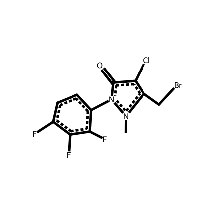 Cn1c(CBr)c(Cl)c(=O)n1-c1ccc(F)c(F)c1F